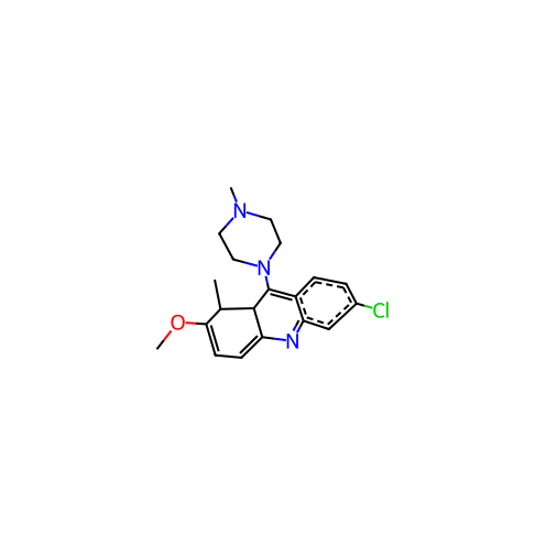 COC1=CC=C2N=c3cc(Cl)ccc3=C(N3CCN(C)CC3)C2C1C